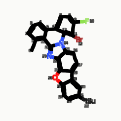 Cc1cccc2c3ccc(F)c(Br)c3n3c4ccc5c6cc(C(C)(C)C)ccc6oc5c4nc3c12